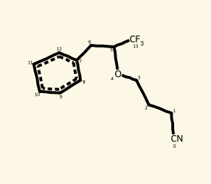 N#CCCCOC(Cc1ccccc1)C(F)(F)F